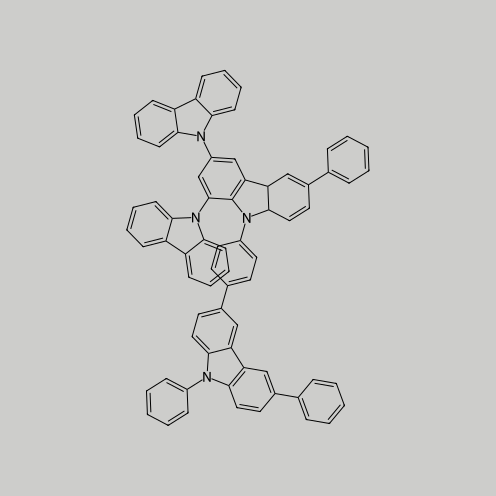 C1=CC2C(C=C1c1ccccc1)c1cc(-n3c4ccccc4c4ccccc43)cc(-n3c4ccccc4c4ccccc43)c1N2c1ccc(-c2ccc3c(c2)c2cc(-c4ccccc4)ccc2n3-c2ccccc2)cc1